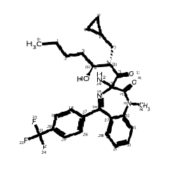 CCCC[C@H](O)[C@H](CC1CC1)C(=O)C1(N)N=C(c2ccc(C(F)(F)F)cc2)c2ccccc2N(C)C1=O